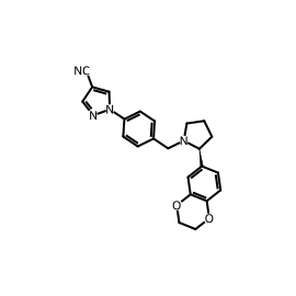 N#Cc1cnn(-c2ccc(CN3CCC[C@H]3c3ccc4c(c3)OCCO4)cc2)c1